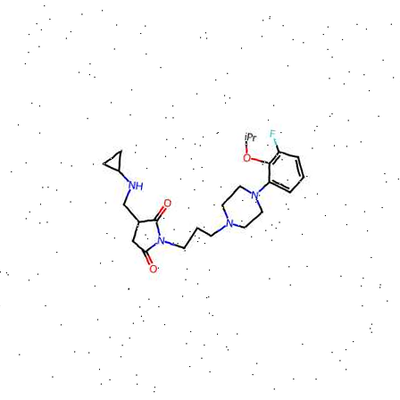 CC(C)Oc1c(F)cccc1N1CCN(CCCN2C(=O)CC(CNC3CC3)C2=O)CC1